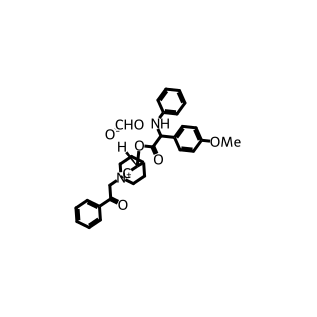 COc1ccc(C(Nc2ccccc2)C(=O)O[C@H]2C[N+]3(CC(=O)c4ccccc4)CCC2CC3)cc1.O=C[O-]